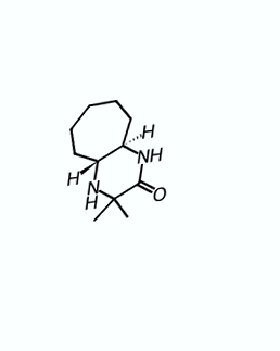 CC1(C)N[C@@H]2CCCCC[C@H]2NC1=O